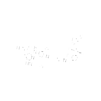 CCc1nc(C(N)=O)c(Nc2ccc(N3CCC(N4CCN(Cc5ccc6c(c5F)C(=O)N(C5CCC(=O)NC5=O)C6=O)CC4)CC3)c(OC)c2)nc1NC1CCOCC1